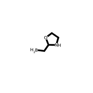 BCC1NCCO1